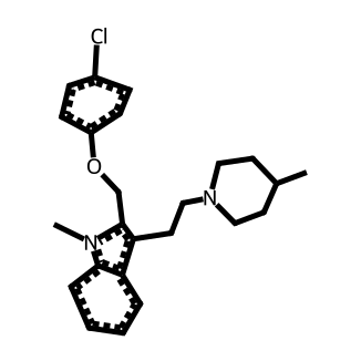 CC1CCN(CCc2c(COc3ccc(Cl)cc3)n(C)c3ccccc23)CC1